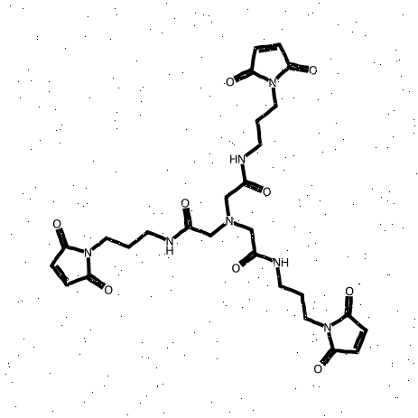 O=C(CN(CC(=O)NCCCN1C(=O)C=CC1=O)CC(=O)NCCCN1C(=O)C=CC1=O)NCCCN1C(=O)C=CC1=O